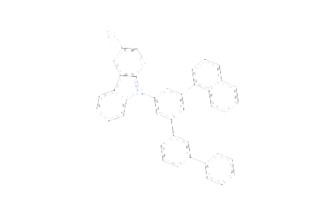 Brc1ccc2c(c1)c1ccccc1n2-c1cc(-c2cccc(-c3ccccc3)c2)cc(-c2cccc3ccccc23)c1